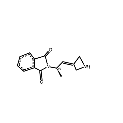 C[C@H](C=C1CNC1)N1C(=O)c2ccccc2C1=O